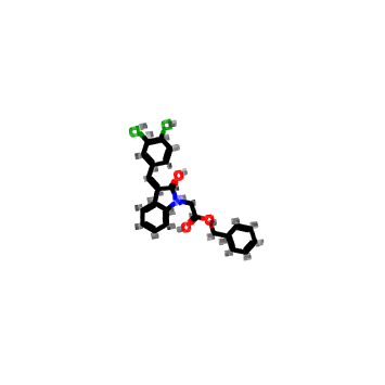 O=C(CN1C(=O)/C(=C\c2ccc(Cl)c(Cl)c2)c2ccccc21)OCc1ccccc1